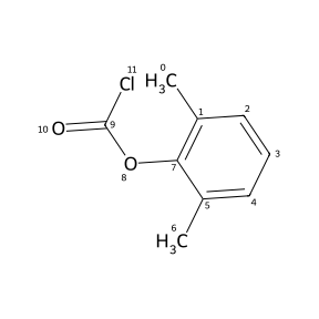 Cc1cccc(C)c1OC(=O)Cl